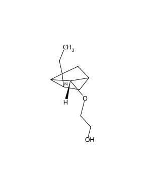 CCC12CC3CC1C2[C@H]3OCCO